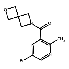 Cc1ncc(Br)cc1C(=O)N1CC2(COC2)C1